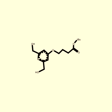 CC(C)(C)OC(=O)CCCOc1cc(CO)nc(CO)c1